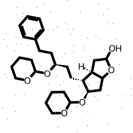 OC1C[C@H]2C(C[C@@H](OC3CCCCO3)[C@@H]2CC[C@H](CCc2ccccc2)OC2CCCCO2)O1